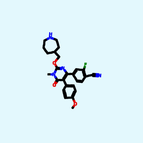 COc1ccc(-c2c(-c3ccc(C#N)c(F)c3)nc(OCC3CCCNCC3)n(C)c2=O)cc1